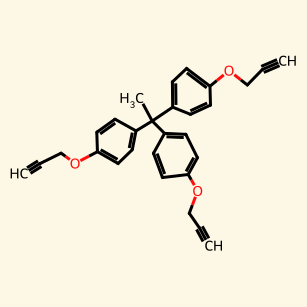 C#CCOc1ccc(C(C)(c2ccc(OCC#C)cc2)c2ccc(OCC#C)cc2)cc1